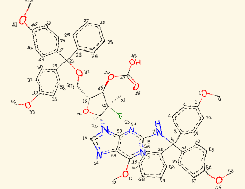 COc1ccc(C(Nc2nc(OC)c3ncn([C@@H]4O[C@H](COC(c5ccccc5)(c5ccc(OC)cc5)c5ccc(OC)cc5)[C@@H](OC(=O)O)[C@@]4(C)F)c3n2)(c2ccccc2)c2ccc(OC)cc2)cc1